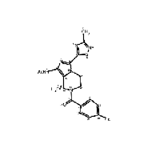 [CH2]C(=O)Nc1nc(-c2nc(C)ns2)n2c1[C@@H](C)N(C(=O)c1ccc(F)cc1)CC2